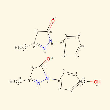 CCOC(=O)C1=NN(c2ccccc2)C(=O)C1.CCOC(=O)C1=NN(c2ccccc2)C(=O)C1.CO